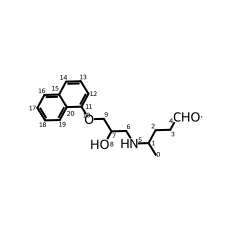 CC(CC[C]=O)NCC(O)COc1cccc2ccccc12